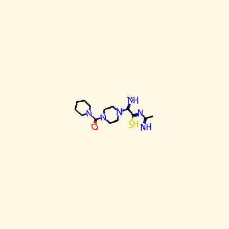 CC(=N)/N=C(\S)C(=N)N1CCN(C(=O)N2CCCCC2)CC1